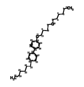 CCCCCCOCCCCOc1ccc(-c2ccc(CCCCCC)cc2)nc1